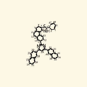 C1=CCC(C2Nc3c(ccc4ccc5cc(-c6nc(-c7ccc8ccccc8c7)cc(-c7ccc8ccccc8c7)n6)ccc5c34)S2)C=C1